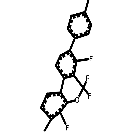 Cc1ccc(-c2ccc3c(c2F)C(F)(F)Oc2c-3ccc(C)c2F)cc1